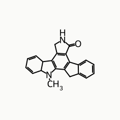 CN1c2c3c(c4c(c2C2C=CC=CC21)CNC4=O)-c1ccccc1C3